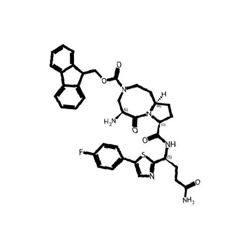 NC(=O)CC[C@H](NC(=O)[C@@H]1CC[C@@H]2CCN(C(=O)OCC3c4ccccc4-c4ccccc43)C[C@H](N)C(=O)N21)c1ncc(-c2ccc(F)cc2)s1